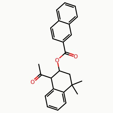 CC(=O)C1c2ccccc2C(C)(C)CC1OC(=O)c1ccc2ccccc2c1